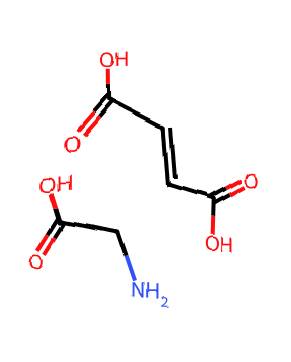 NCC(=O)O.O=C(O)/C=C/C(=O)O